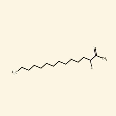 CCCCCCCCCCCCC(Cl)C(C)=O